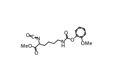 COC(=O)C(CCCCNC(=O)Oc1ccccc1OC)N=C=O